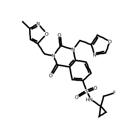 Cc1cc(Cn2c(=O)c3cc(S(=O)(=O)NC4(CF)CC4)ccc3n(Cc3cocn3)c2=O)on1